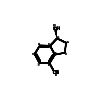 N#Cc1cccc2c1CC[C@H]2O